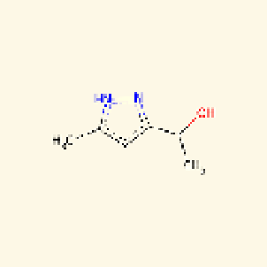 Cc1cc(C(C)O)n[nH]1